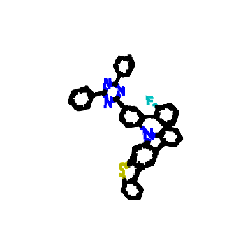 Fc1ccccc1-c1cc(-c2nc(-c3ccccc3)nc(-c3ccccc3)n2)ccc1-n1c2ccccc2c2cc3c(cc21)sc1ccccc13